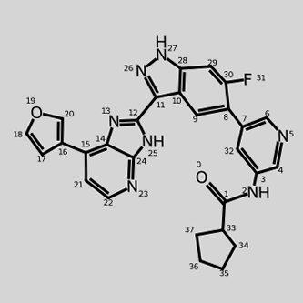 O=C(Nc1cncc(-c2cc3c(-c4nc5c(-c6ccoc6)ccnc5[nH]4)n[nH]c3cc2F)c1)C1CCCC1